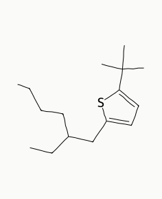 CCCCC(CC)Cc1ccc(C(C)(C)C)s1